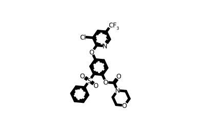 O=C(Oc1ccc(Oc2ncc(C(F)(F)F)cc2Cl)cc1S(=O)(=O)c1ccccc1)N1CCOCC1